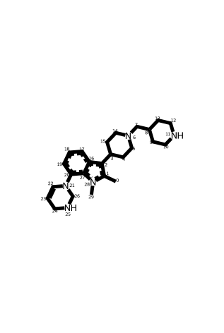 Cc1c(C2CCN(CC3CCNCC3)CC2)c2cccc(N3C=CCNC3)c2n1C